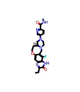 CCc1nc2cc3c(c(F)c2[nH]c1=O)CN1CCN(c2ccc(C(=O)NC)nc2)C[C@@H]1CCO3